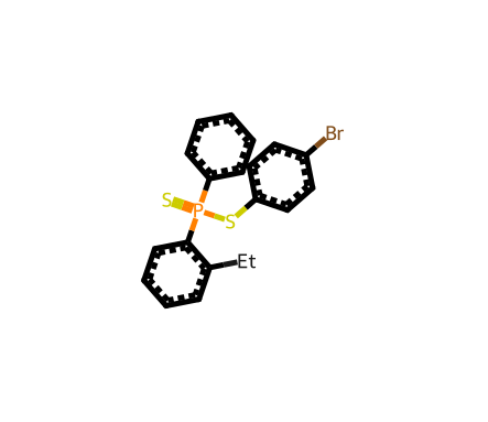 CCc1ccccc1P(=S)(Sc1ccc(Br)cc1)c1ccccc1